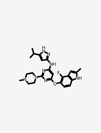 Cc1cc2c(F)c(Oc3cc(Nc4cc(C(C)C)[nH]n4)nc(N4CCN(C)CC4)n3)ccc2[nH]1